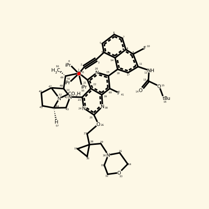 CC(C)[Si](C#Cc1cccc2c(F)c(NC(=O)OC(C)(C)C)cc(-c3nc4c5c(nc(OCC6(CN7CCOCC7)CC6)nc5c3F)N3C[C@H]5CCC(C3[C@H](C)O4)N5C(=O)O)c12)(C(C)C)C(C)C